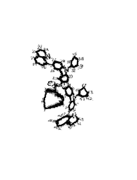 O=P(c1ccccc1)(c1ccc2c(c1)c1cc(-c3cccc4cccnc34)ccc1n2-c1ccccc1)c1ccc2c(c1)c1cc(-c3cccc4cccnc34)ccc1n2-c1ccccc1